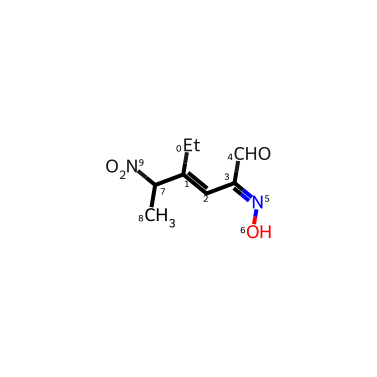 CC/C(=C\C(C=O)=N/O)C(C)[N+](=O)[O-]